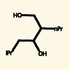 CCCC(CO)C(O)CC(C)C